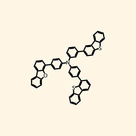 c1cc(-c2ccc3sc4ccccc4c3c2)cc(N(c2ccc(-c3cccc4c3oc3ccccc34)cc2)c2ccc(-c3cccc4c3sc3ccccc34)cc2)c1